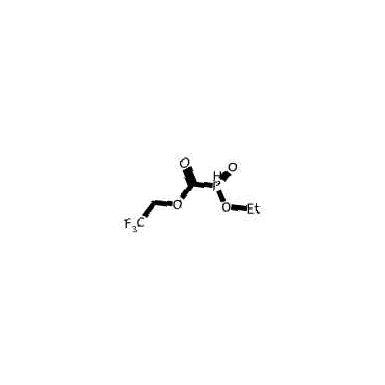 CCO[PH](=O)C(=O)OCC(F)(F)F